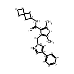 Cc1sc(C)c(C(=O)NC2CC3(CCC3)C2)c1Cn1cc(-c2ccccc2)cn1